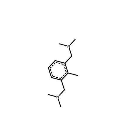 Cc1c(CN(C)C)cccc1CN(C)C